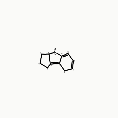 C1=CCC2=C3CCCC3NC2=C1